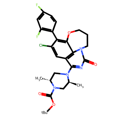 C[C@@H]1CN(c2nc(=O)n3c4c(c(-c5ccc(F)cc5F)c(Cl)cc24)OCCC3)[C@@H](C)CN1C(=O)OC(C)(C)C